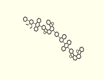 C=Cc1c(-c2ccccc2)ccc(-c2c3ccccc3c(-c3ccc4c(c3)oc3ccc5c(-c6ccc(-c7ccc(-c8c9ccccc9c(-c9ccc%10c(c9)oc9ccc%11ccc%12c%13ccccc%13oc%12c%11c9%10)c9ccccc89)c8ccccc78)cc6)cc6oc7ccccc7c6c5c34)c3ccccc23)c1C=C